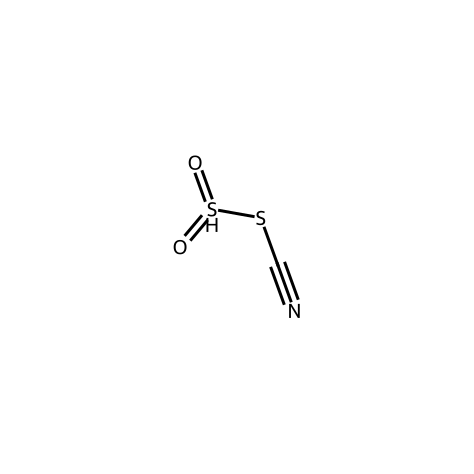 N#CS[SH](=O)=O